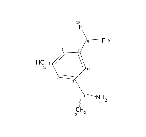 C[C@@H](N)c1cccc(C(F)F)c1.Cl